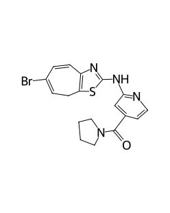 O=C(c1ccnc(Nc2nc3c(s2)CC=C(Br)C=C3)c1)N1CCCC1